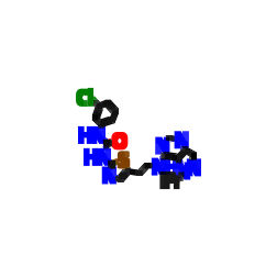 CC(C)n1ncc2ncnc(NCCc3cnc(NC(=O)Nc4cccc(Cl)c4)s3)c21